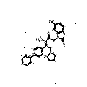 CN(C(=O)Cn1c(=O)sc2ccc(Cl)cc21)C(CN1CCCC1)c1ccc(-c2ccccc2)cc1